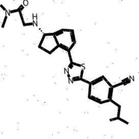 CC(C)Cc1ccc(-c2nnc(-c3cccc4c3CC[C@@H]4NCC(=O)N(C)C)s2)cc1C#N